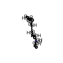 CN(CCNC(=O)CCCCCNC(=O)COc1cccc2c1C(=O)N(C1CCC(=O)NC1=O)C2=O)C(=O)c1ccc(/C(O)=C/C(=N)C(=O)NC2CCc3ccccc32)cc1O